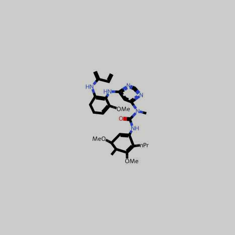 C=CC(=C)NC1=C(Nc2cc(N(C)C(=O)NC3=CC(OC)C(C)C(OC)=C3CCC)ncn2)C(OC)=CCC1